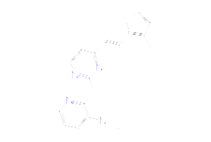 Cc1ccsc1/C=C/c1ccnc(Sc2ncccc2[N+](=O)[O-])n1